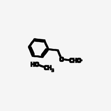 CO.O=[C]OCc1ccccc1